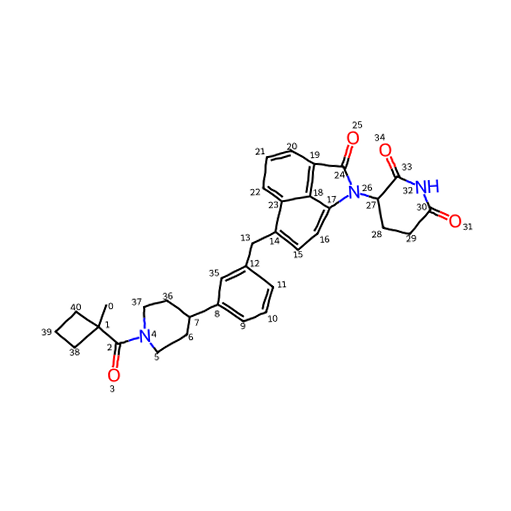 CC1(C(=O)N2CCC(c3cccc(Cc4ccc5c6c(cccc46)C(=O)N5C4CCC(=O)NC4=O)c3)CC2)CCC1